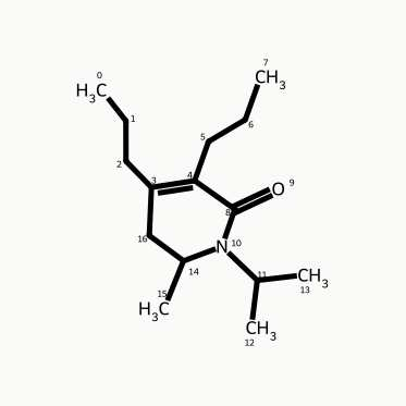 CCCC1=C(CCC)C(=O)N(C(C)C)C(C)C1